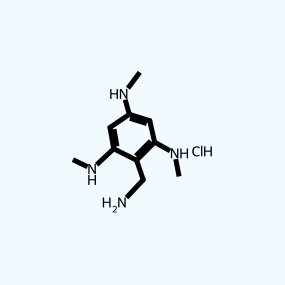 CNc1cc(NC)c(CN)c(NC)c1.Cl